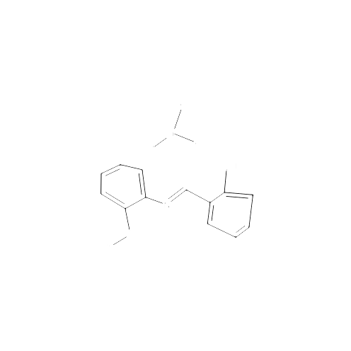 CCCSc1ccccc1N=Cc1ccccc1O.[Cl][Ti]([Cl])[Cl]